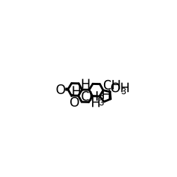 C[C@]12CC[C@H]3[C@@H](CCC45O[C@H]4C(=O)CC[C@]35C)[C@@H]1CC[C@@H]2O